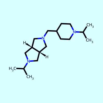 CC(C)N1CCC(CN2C[C@@H]3CN(C(C)C)C[C@@H]3C2)CC1